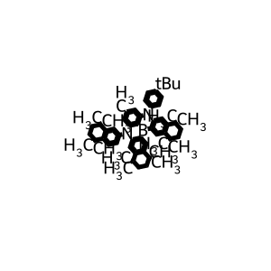 Cc1cc2c3c(c1)N(c1ccc4c(c1)C(C)(C)CCC4(C)C)c1cc4c(cc1B3c1cc3c(cc1N2c1ccc(C(C)(C)C)cc1)C(C)(C)CCC3(C)C)C(C)(C)CCC4(C)C